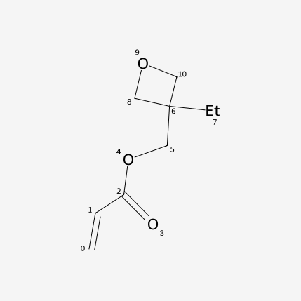 C=CC(=O)OCC1(CC)COC1